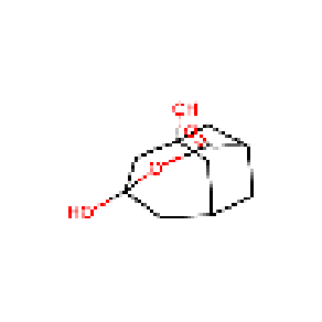 O=C1OC2(O)CC3CC1CC(O)(C3)C2